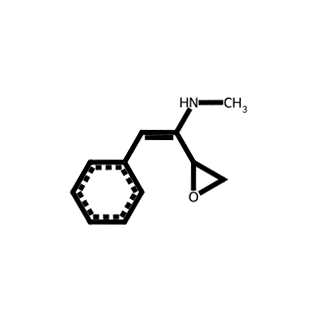 CN/C(=C/c1ccccc1)C1CO1